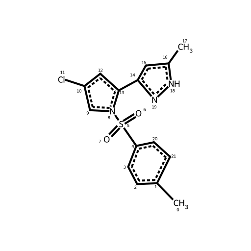 Cc1ccc(S(=O)(=O)n2cc(Cl)cc2-c2cc(C)[nH]n2)cc1